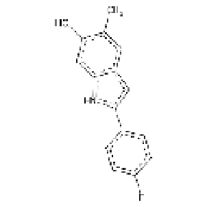 Cc1cc2cc(-c3ccc(F)cc3)[nH]c2cc1O